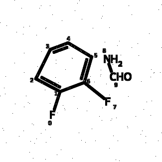 Fc1ccccc1F.NC=O